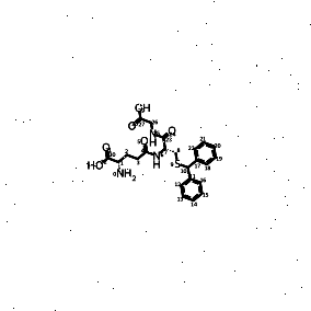 N[C@@H](CCC(=O)N[C@@H](CSC(c1ccccc1)c1ccccc1)C(=O)NCC(=O)O)C(=O)O